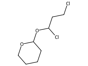 ClCCC(Cl)OC1CCCCO1